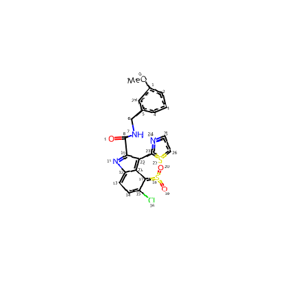 COc1cccc(CNC(=O)C2=NC3=CC=C(Cl)C(=S(=O)=O)C3=C2c2nccs2)c1